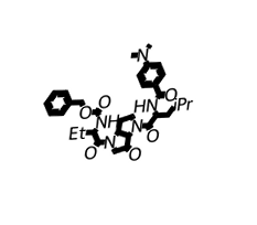 CCC(NC(=O)OCc1ccccc1)C(=O)N1CC(=O)C2C1CCN2C(=O)C(CC(C)C)NC(=O)c1ccc(N(C)C)cc1